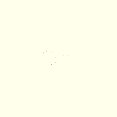 CC(=O)[C@@]1(O)C(C)C[C@H]2[C@@H]3CCC4=CC(=O)C=C[C@]4(C)[C@@]3(F)C(O)C[C@@]21C